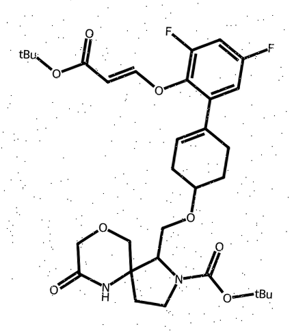 CC(C)(C)OC(=O)/C=C/Oc1c(F)cc(F)cc1C1=CCC(OCC2N(C(=O)OC(C)(C)C)CCC23COCC(=O)N3)CC1